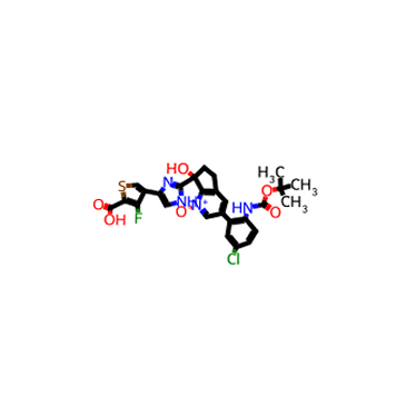 CC(C)(C)OC(=O)Nc1ccc(Cl)cc1-c1cc2c([n+]([O-])c1)C(O)(c1nc(-c3csc(C(=O)O)c3F)c[nH]1)CC2